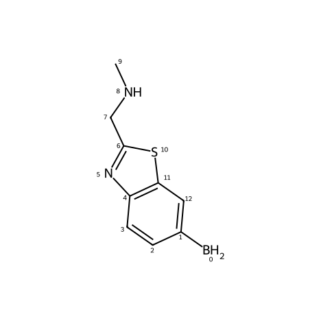 Bc1ccc2nc(CNC)sc2c1